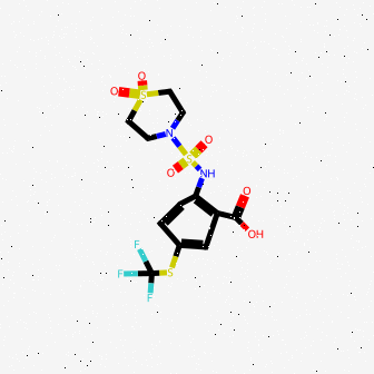 O=C(O)c1cc(SC(F)(F)F)ccc1NS(=O)(=O)N1CCS(=O)(=O)CC1